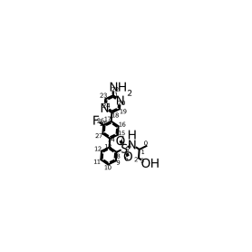 CC(CO)NS(=O)(=O)c1ccccc1-c1ccc(-c2cnc(N)cn2)c(F)c1